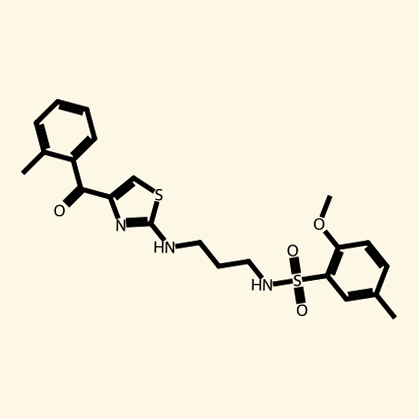 COc1ccc(C)cc1S(=O)(=O)NCCCNc1nc(C(=O)c2ccccc2C)cs1